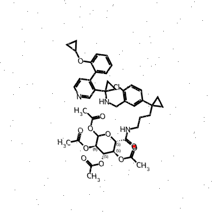 CC(=O)OC1O[C@H](C(=O)NCCCC2(c3ccc(Cl)c(CNC4(c5cnccc5-c5ccccc5OC5CC5)CC4)c3)CC2)[C@@H](OC(C)=O)[C@H](OC(C)=O)[C@H]1OC(C)=O